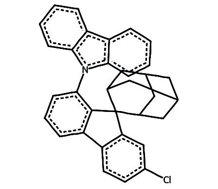 Clc1ccc2c(c1)C1(c3c-2cccc3-n2c3ccccc3c3ccccc32)C2CC3CC(C2)CC1C3